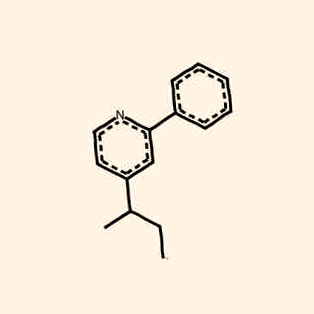 [CH2]CC(C)c1ccnc(-c2ccccc2)c1